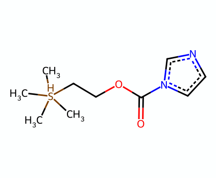 C[SH](C)(C)(C)CCOC(=O)n1ccnc1